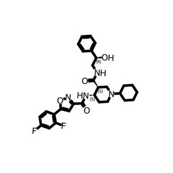 O=C(N[C@H]1CCN(C2CCCCC2)C[C@@H]1C(=O)NC[C@H](O)c1ccccc1)c1cc(-c2ccc(F)cc2F)on1